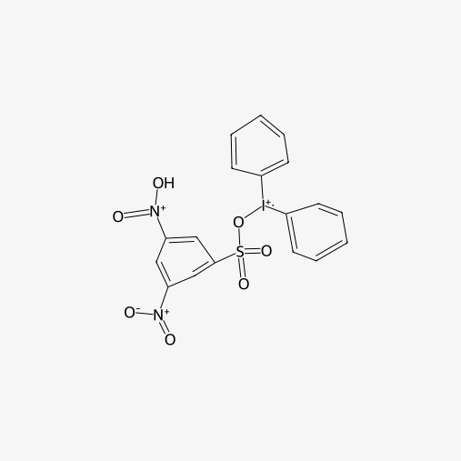 O=[N+]([O-])c1cc([N+](=O)O)cc(S(=O)(=O)O[I+](c2ccccc2)c2ccccc2)c1